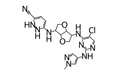 Cn1cc(Nc2ncc(Cl)c(NC3COC4C(NC5=CC=C(C#N)NN5)COC34)n2)cn1